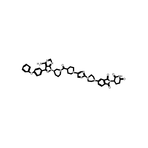 Nc1ncnc2c1c(-c1ccc(Oc3ccccc3)cc1)nn2[C@@H]1CCCN(C(=O)C2CCN(c3cnc(N4CCN(c5ccc6c(c5)C(=O)N(C5CCC(=O)NC5=O)C6=O)CC4)nc3)CC2)C1